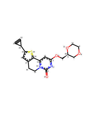 O=c1nc(OC[C@@H]2COCCO2)cc2n1CCc1cc(C3C#C3)sc1-2